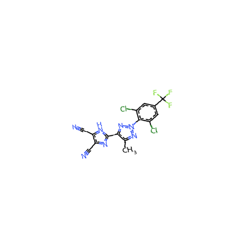 Cc1nn(-c2c(Cl)cc(C(F)(F)F)cc2Cl)nc1-c1nc(C#N)c(C#N)[nH]1